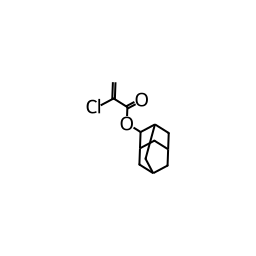 C=C(Cl)C(=O)OC1C2CC3CC(C2)CC1C3